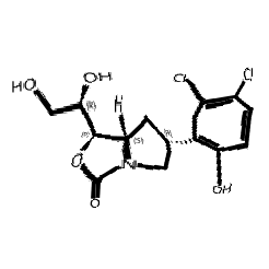 O=C1O[C@@H]([C@H](O)CO)[C@@H]2C[C@H](c3c(O)ccc(Cl)c3Cl)CN12